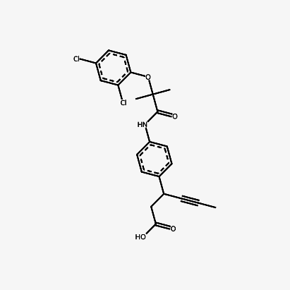 CC#CC(CC(=O)O)c1ccc(NC(=O)C(C)(C)Oc2ccc(Cl)cc2Cl)cc1